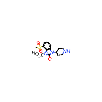 CS(=O)(=O)c1cccc2c1n(C(=O)O)c(=O)n2C1CCNCC1